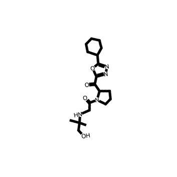 CC(C)(CO)NCC(=O)N1CCCC1C(=O)c1nnc(C2CCCCC2)o1